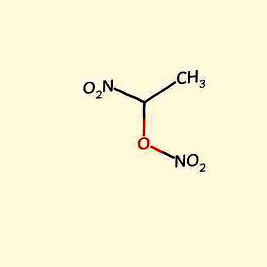 CC(O[N+](=O)[O-])[N+](=O)[O-]